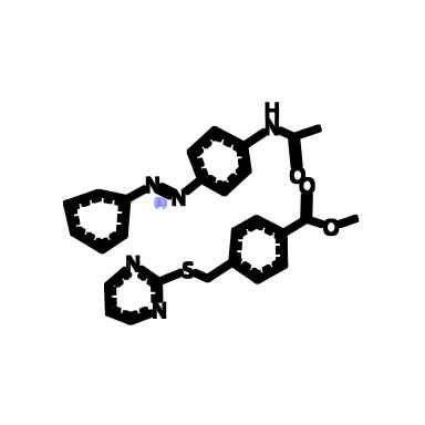 CC(=O)Nc1ccc(/N=N/c2ccccc2)cc1.COC(=O)c1ccc(CSc2ncccn2)cc1